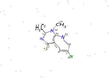 Cc1nc(=S)c2cc(Br)cnc2n1C